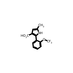 Cc1cc(C(=O)O)c(-c2ccccc2OC(F)(F)F)[nH]1